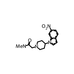 CNC(=O)CN1CCC(n2ccc3ccc([N+](=O)[O-])cc32)CC1